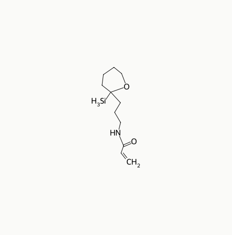 C=CC(=O)NCCCC1([SiH3])CCCCO1